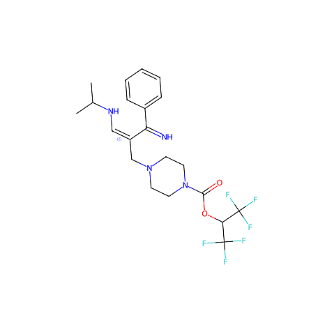 CC(C)N/C=C(/CN1CCN(C(=O)OC(C(F)(F)F)C(F)(F)F)CC1)C(=N)c1ccccc1